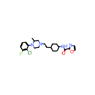 CC1CN(CCC2CCC(NC(=O)c3ncco3)CC2)CCN1c1cccc(F)c1Cl